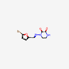 O=C1NCCN(N=Cc2ccc(Br)o2)C1=O